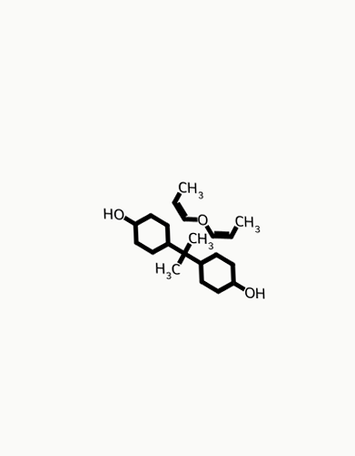 C/C=C\O/C=C\C.CC(C)(C1CCC(O)CC1)C1CCC(O)CC1